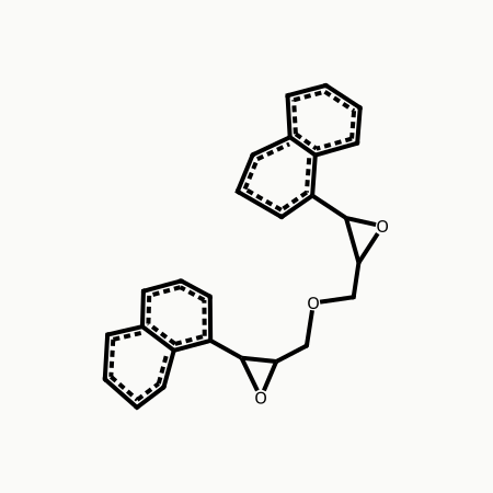 c1ccc2c(C3OC3COCC3OC3c3cccc4ccccc34)cccc2c1